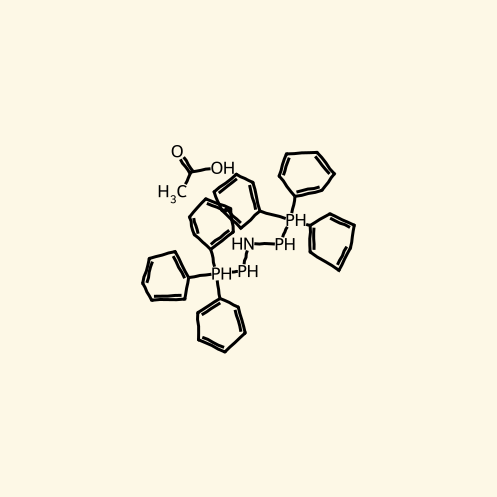 CC(=O)O.c1ccc([PH](PNP[PH](c2ccccc2)(c2ccccc2)c2ccccc2)(c2ccccc2)c2ccccc2)cc1